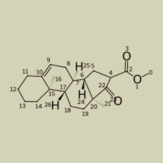 COC(=O)C1C[C@H]2[C@@H]3CC=C4CCCC[C@]4(C)[C@H]3CC[C@]2(C)C1=O